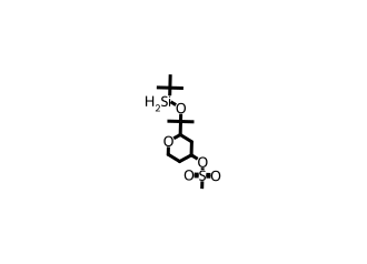 CC(C)(C)[SiH2]OC(C)(C)C1CC(OS(C)(=O)=O)CCO1